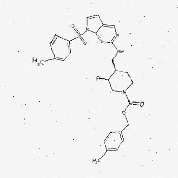 Cc1ccc(COC(=O)N2CC[C@H](CNc3ncc4ccn(S(=O)(=O)c5ccc(C)cc5)c4n3)[C@H](F)C2)cc1